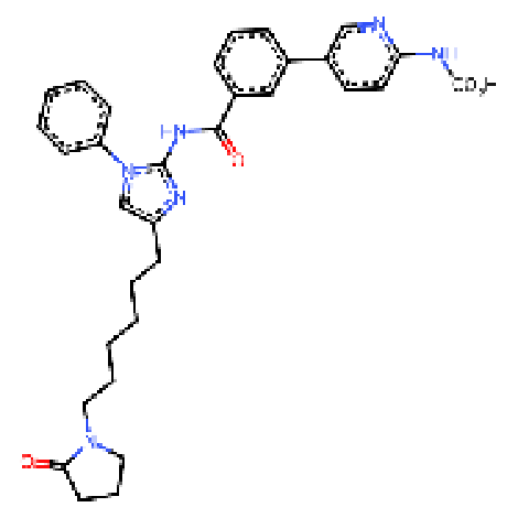 O=C(O)Nc1ccc(-c2cccc(C(=O)Nc3nc(CCCCCCN4CCCC4=O)cn3-c3ccccc3)c2)cn1